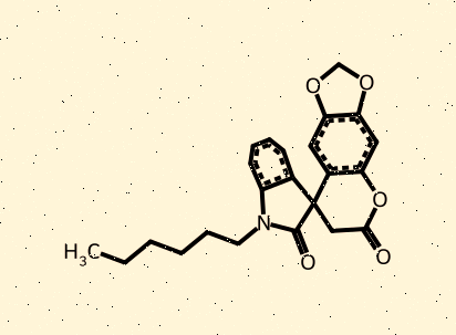 CCCCCCN1C(=O)C2(CC(=O)Oc3cc4c(cc32)OCO4)c2ccccc21